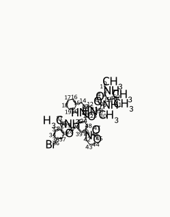 CCNC(=O)[C@@H](NC(=O)[C@H](C)NC[C@H](Cc1ccccc1)NC(=O)c1cc(C(=O)N[C@H](C)c2ccc(Br)cc2)cc(N2CCCOC2=O)c1)C(C)C